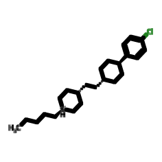 CCCCC[Si@H]1CC[C@H](CC[C@H]2CC[C@H](c3ccc(Cl)cc3)CC2)CC1